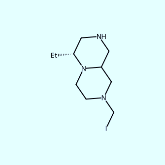 CC[C@@H]1CNCC2CN(CI)CCN21